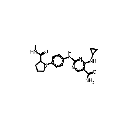 CNC(=O)C1CCCN1c1ccc(Nc2ncc(C(N)=O)c(NC3CC3)n2)cc1